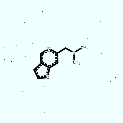 CN(C)Cc1cc2occc2cn1